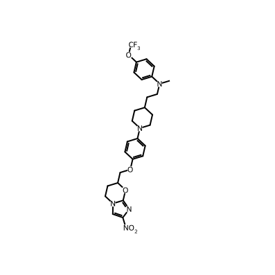 CN(CCC1CCN(c2ccc(OCC3CCn4cc([N+](=O)[O-])nc4O3)cc2)CC1)c1ccc(OC(F)(F)F)cc1